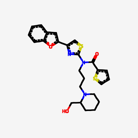 O=C(c1cccs1)N(CCCN1CCCCC1CO)c1nc(-c2cc3ccccc3o2)cs1